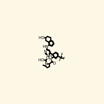 CC1CCC(C(=O)Nc2cc(C(F)(F)F)ccc2-c2cc(Nc3cccc4c3CC(O)CC4)ncn2)N1C(=O)O